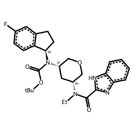 CCN(C(=O)c1nc2ccccc2[nH]1)[C@H]1COC[C@@H](N(C(=O)OC(C)(C)C)[C@@H]2CCc3cc(F)ccc32)C1